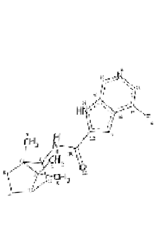 CC1(C)C2CCC1(C)C(NC(=O)c1cc3c(F)cncc3[nH]1)C2